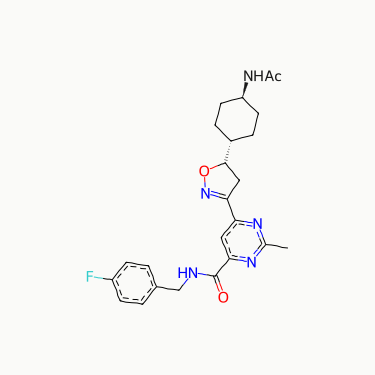 CC(=O)N[C@H]1CC[C@H](C2CC(c3cc(C(=O)NCc4ccc(F)cc4)nc(C)n3)=NO2)CC1